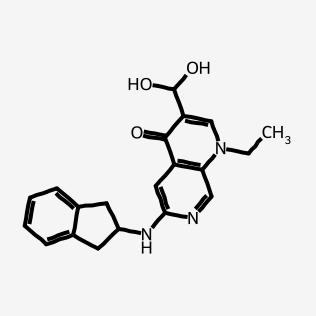 CCn1cc(C(O)O)c(=O)c2cc(NC3Cc4ccccc4C3)ncc21